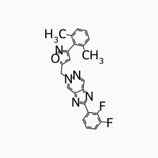 Cc1cccc(C)c1-c1cc(Cn2cc3nc(-c4cccc(F)c4F)nc-3cn2)on1